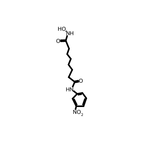 O=C(CCCCCCC(=O)Nc1cccc([N+](=O)[O-])c1)NO